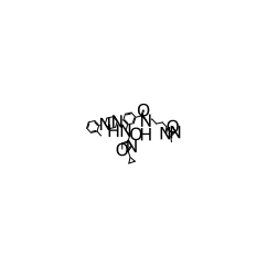 Cc1noc(CCCNC(=O)c2ccc(N3CCN(c4ccccc4C)CC3)c(NC(=O)c3coc(C4CC4)n3)c2)n1